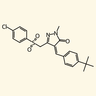 CN1N=C(CS(=O)(=O)c2ccc(Cl)cc2)C(=Cc2ccc(C(C)(C)C)cc2)C1=O